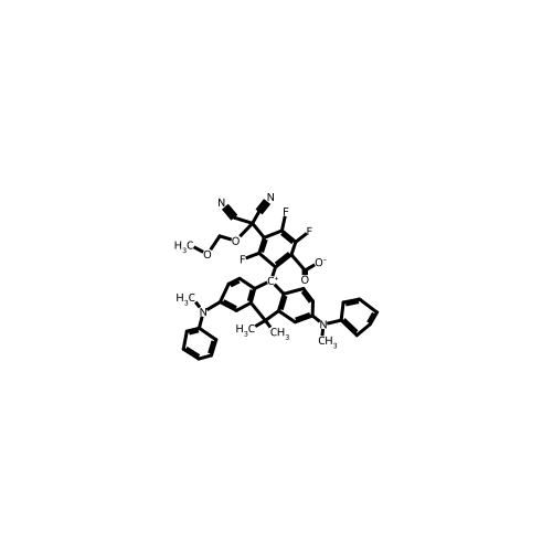 COCOC(C#N)(C#N)c1c(F)c(F)c(C(=O)[O-])c([C+]2c3ccc(N(C)c4ccccc4)cc3C(C)(C)c3cc(N(C)c4ccccc4)ccc32)c1F